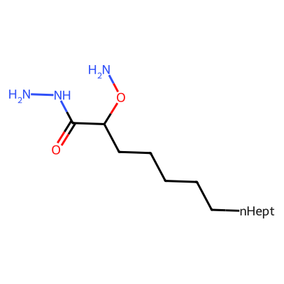 CCCCCCCCCCCCC(ON)C(=O)NN